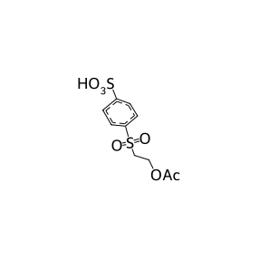 CC(=O)OCCS(=O)(=O)c1ccc(S(=O)(=O)O)cc1